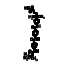 CC(C)(C)CC(=O)Nc1ccc(C(=O)Nc2ccc(C(=O)Nc3ccc([N+](C)(C)CCCS(=O)(=O)O)cc3)cc2)cc1